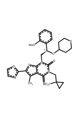 COc1ccccc1[C@H](Cn1c(=O)n(CC2(C(=O)O)CC2)c(=O)c2c(C)c(-c3ncco3)sc21)OC1CCOCC1